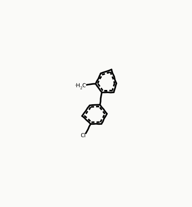 [CH2]c1ccccc1-c1ccc(Cl)cc1